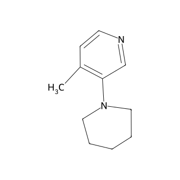 Cc1ccncc1N1CCCCC1